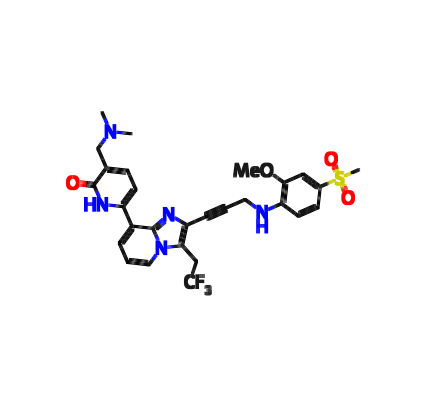 COc1cc(S(C)(=O)=O)ccc1NCC#Cc1nc2c(-c3ccc(CN(C)C)c(=O)[nH]3)cccn2c1CC(F)(F)F